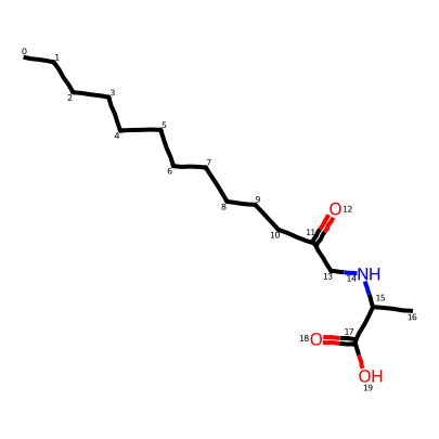 CCCCCCCCCCCC(=O)CNC(C)C(=O)O